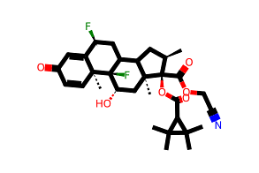 C[C@@H]1CC2C3C[C@H](F)C4=CC(=O)C=C[C@]4(C)[C@@]3(F)[C@@H](O)C[C@]2(C)[C@@]1(OC(=O)C1C(C)(C)C1(C)C)C(=O)OCC#N